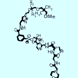 COCC(C)(C)COCC(C)(C)OCCn1cc(CNC(=O)c2cccc(S(=O)(=O)OCC(C)(O)C(=O)[C@H](CC(C)C)NC(=O)CNC(=O)[C@H](CC(C)C)NC(=O)CNC(=O)CN3CCOCC3)c2)nn1